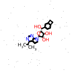 CC(C)c1ncnc2c1ccn2[C@@H]1O[C@H](C(O)c2ccc3c(c2)CC3)[C@@H](O)[C@H]1O